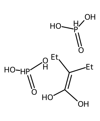 CCC(CC)=C(O)O.O=[PH](O)O.O=[PH](O)O